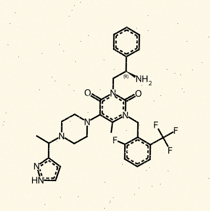 Cc1c(N2CCN(C(C)c3cc[nH]n3)CC2)c(=O)n(C[C@H](N)c2ccccc2)c(=O)n1Cc1c(F)cccc1C(F)(F)F